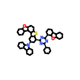 c1ccc(-c2nc(-c3cccc4c3oc3ccccc34)nc(-c3cc(-n4c5ccccc5c5ccccc54)cc4c3sc3ccc5oc6ccccc6c5c34)n2)cc1